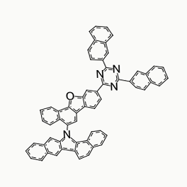 c1ccc2cc(-c3nc(-c4ccc5ccccc5c4)nc(-c4ccc5c(c4)oc4c6ccccc6c(-n6c7cc8ccccc8cc7c7ccc8ccccc8c76)cc54)n3)ccc2c1